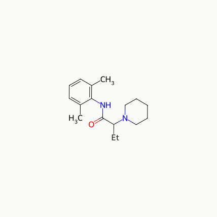 CCC(C(=O)Nc1c(C)cccc1C)N1CCCCC1